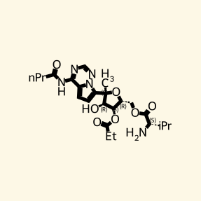 CCCC(=O)Nc1ncnn2c([C@]3(C)O[C@H](COC(=O)[C@@H](N)C(C)C)[C@@H](OC(=O)CC)[C@H]3O)ccc12